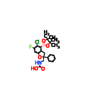 CC1(C)OB(c2c(Cl)c(F)cc3c2CC(CNC(=O)O)(c2ccccc2)O3)OC1(C)C